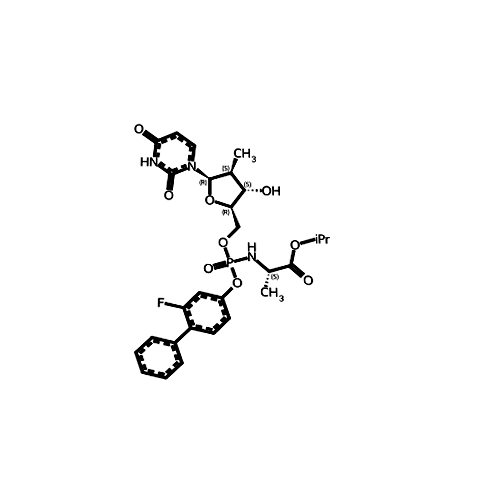 CC(C)OC(=O)[C@H](C)NP(=O)(OC[C@H]1O[C@@H](n2ccc(=O)[nH]c2=O)[C@@H](C)[C@@H]1O)Oc1ccc(-c2ccccc2)c(F)c1